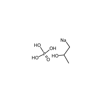 CC(O)[CH2][Na].O=P(O)(O)O